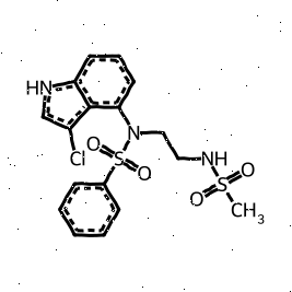 CS(=O)(=O)NCCN(c1cccc2[nH]cc(Cl)c12)S(=O)(=O)c1ccccc1